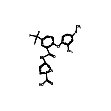 COc1ccc(Oc2ccc(C(F)(F)F)cc2C(=O)Nc2ccc(C(=O)O)nc2)c(C)c1